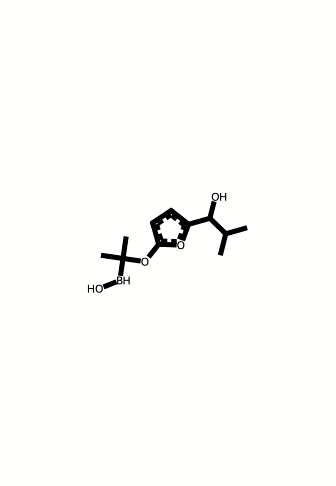 CC(C)C(O)c1ccc(OC(C)(C)BO)o1